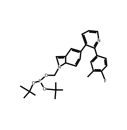 Cc1cc(-c2ncccc2C2=CC3=CN(COP(OC(C)(C)C)OC(C)(C)C)C3C=C2)ccc1F